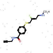 C#CCNC(=O)c1ccc(SCC(F)=CCNC(=O)O)cc1